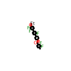 CCOc1ccc(-c2ccc(C3=CCC(OC(=O)c4ccc(C)c(F)c4F)CC3)c(F)c2)c(F)c1F